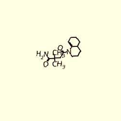 CC(C)([CH]C(=O)N1CCCC2CCCC=C21)C(N)=O